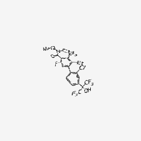 CCc1c(-c2ccc(C(O)(C(F)(F)F)C(F)(F)F)cc2Cl)cc(F)c(C(=O)N(C)OC)c1F